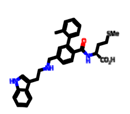 CSCC[C@H](NC(=O)c1ccc(CNCCc2c[nH]c3ccccc23)cc1-c1ccccc1C)C(=O)O